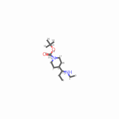 CCNC(CC)C1CCN(C(=O)OC(C)(C)C)CC1